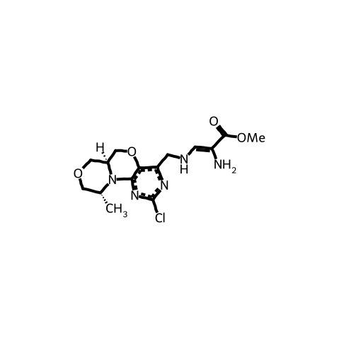 COC(=O)/C(N)=C/NCc1nc(Cl)nc2c1OC[C@@H]1COC[C@@H](C)N21